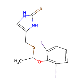 CC(Oc1c(I)cccc1I)SCc1c[nH]c(=S)[nH]1